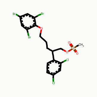 CS(=O)(=O)OCC(CCCOc1c(Br)cc(Br)cc1Br)c1ccc(Cl)cc1Cl